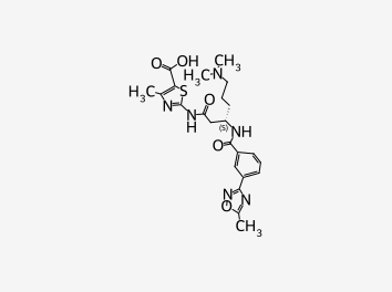 Cc1nc(-c2cccc(C(=O)N[C@@H](CCCN(C)C)CC(=O)Nc3nc(C)c(C(=O)O)s3)c2)no1